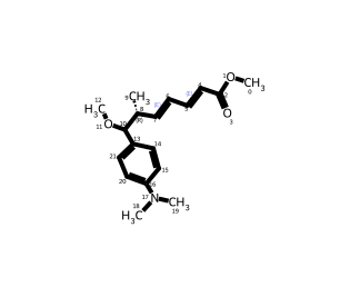 COC(=O)/C=C/C=C/[C@@H](C)C(OC)c1ccc(N(C)C)cc1